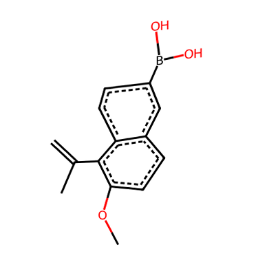 C=C(C)c1c(OC)ccc2cc(B(O)O)ccc12